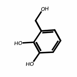 OCc1cccc(O)c1O